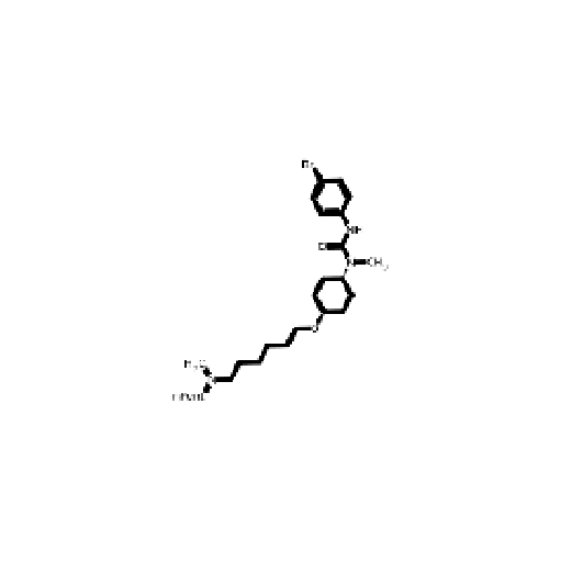 CCCCCN(C)CCCCCCO[C@H]1CC[C@H](N(C)C(=O)Nc2ccc(Br)cc2)CC1